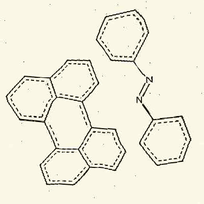 c1cc2cccc3c4cccc5cccc(c(c1)c23)c54.c1ccc(N=Nc2ccccc2)cc1